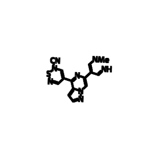 CN/C=C(\C=N)c1cn2nccc2c(C2=CN(C#N)SN=C2)n1